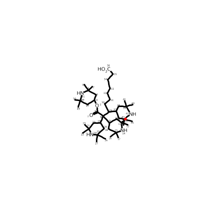 CC1(C)CC(OC(=O)C(C2CC(C)(C)NC(C)(C)C2)(C2CC(C)(C)NC(C)(C)C2)C(CCCCCCC(=O)O)C2CC(C)(C)NC(C)(C)C2)CC(C)(C)N1